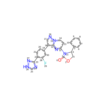 O=C1OCC(c2ccccc2)N1c1ccn2ncc(-c3ccc(-c4nc[nH]n4)c(F)c3)c2n1